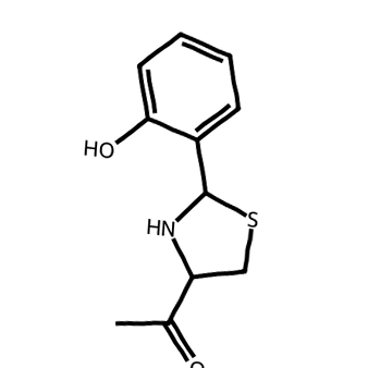 CC(=O)C1CSC(c2ccccc2O)N1